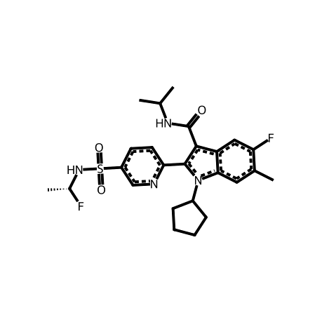 Cc1cc2c(cc1F)c(C(=O)NC(C)C)c(-c1ccc(S(=O)(=O)N[C@@H](C)F)cn1)n2C1CCCC1